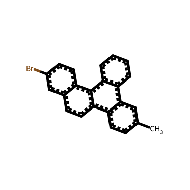 Cc1ccc2c(c1)c1ccccc1c1c3ccc(Br)cc3ccc21